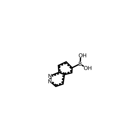 OB(O)c1ccc2nnccc2c1